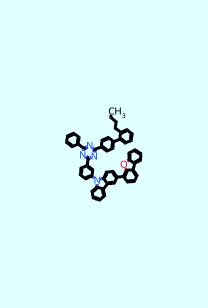 CCCCc1ccccc1-c1ccc(-c2nc(-c3ccccc3)nc(-c3cccc(-n4c5ccccc5c5cc(-c6cccc7c6oc6ccccc67)ccc54)c3)n2)cc1